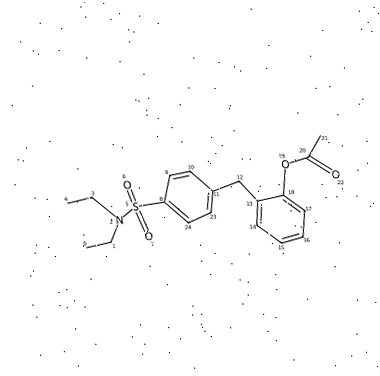 CCN(CC)S(=O)(=O)c1ccc(Cc2ccccc2OC(C)=O)cc1